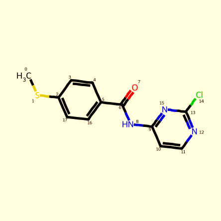 CSc1ccc(C(=O)Nc2ccnc(Cl)n2)cc1